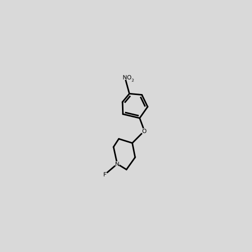 O=[N+]([O-])c1ccc(OC2CCN(F)CC2)cc1